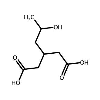 CC(O)CC(CC(=O)O)CC(=O)O